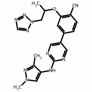 Cc1nn(C)cc1Nc1ncc(-c2ccc(C#N)c(OC(C)Cn3ncnn3)c2)cn1